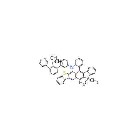 CC1(C)c2ccccc2-c2c(-c3ccccc3N(c3cccc(-c4cccc5c4C(C)(C)c4ccccc4-5)c3)c3cccc4c3sc3ccccc34)cccc21